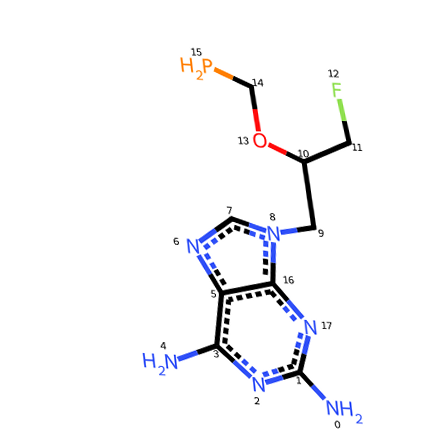 Nc1nc(N)c2ncn(CC(CF)OCP)c2n1